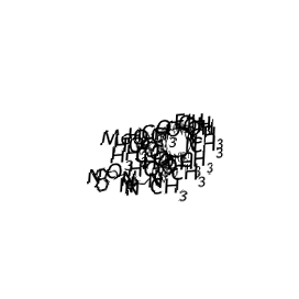 CC[C@H]1OC(=O)[C@H](C)[C@@H](C2C[C@@](C)(OC)[C@@H](O)[C@H](C)O2)[C@H](C)[C@@H](O[C@@H]2O[C@H](C)C[C@H](N(C)CCc3cn(CCOc4ccnc5ccccc45)nn3)[C@H]2O)[C@](C)(O)C[C@@H](C)CN(C)[C@H](C)[C@@H](O)[C@]1(C)O